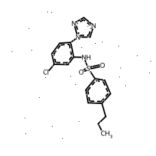 CCCc1ccc(S(=O)(=O)Nc2cc(Cl)ccc2-n2cncn2)cc1